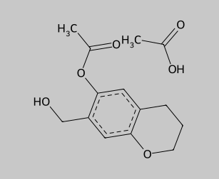 CC(=O)O.CC(=O)Oc1cc2c(cc1CO)OCCC2